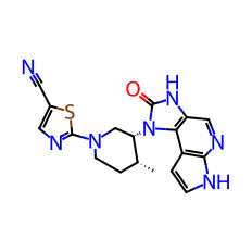 C[C@@H]1CCN(c2ncc(C#N)s2)C[C@@H]1n1c(=O)[nH]c2cnc3[nH]ccc3c21